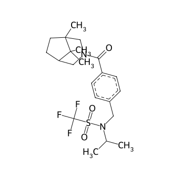 CC(C)N(Cc1ccc(C(=O)N2CC3CCC(C)(C2)C3(C)C)cc1)S(=O)(=O)C(F)(F)F